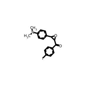 CN(C)c1ccc(C2OC2C(=O)c2ccc(I)cc2)cc1